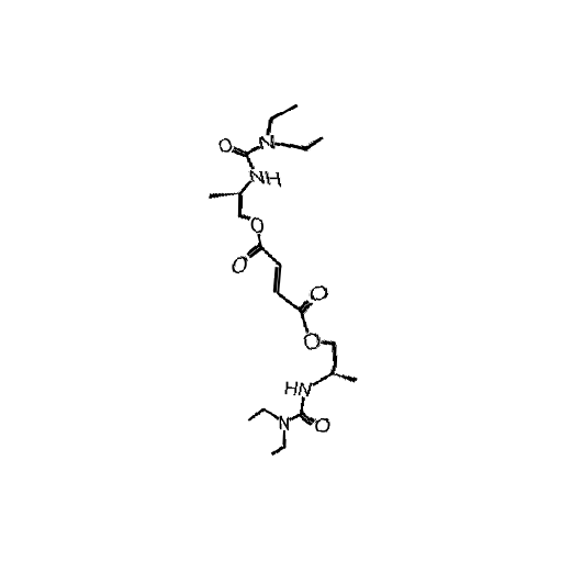 CCN(CC)C(=O)N[C@H](C)COC(=O)/C=C/C(=O)OC[C@@H](C)NC(=O)N(CC)CC